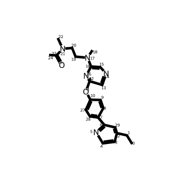 CCc1ccnc(-c2ccc(Oc3cncc(N(C)CCN(C)C(C)=O)n3)cc2)c1